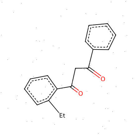 CCc1ccccc1C(=O)CC(=O)c1ccccc1